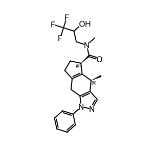 C[C@@H]1C2=C(CC[C@H]2C(=O)N(C)CC(O)C(F)(F)F)Cc2c1cnn2-c1ccccc1